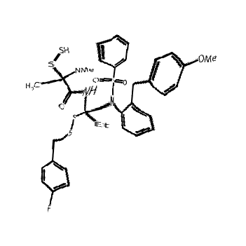 CCC(NC(=O)C(C)(NC)SS)(SSCc1ccc(F)cc1)N(c1ccccc1Cc1ccc(OC)cc1)S(=O)(=O)c1ccccc1